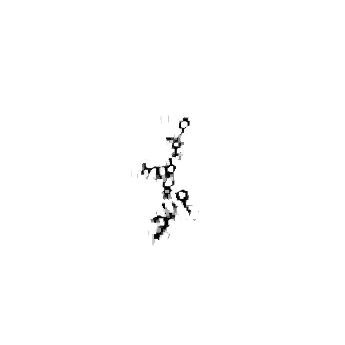 COc1nc2[nH]cc(F)c2cc1Oc1cc(N2CCC3(CC2)CC(N2CCN(Cc4ccnc(OC(F)F)c4)C[C@H]2c2ccccc2C(C)C)C3)ccc1C(=O)NS(=O)(=O)c1cnc(OCC2CCC(C)(O)CC2)c([N+](=O)[O-])c1